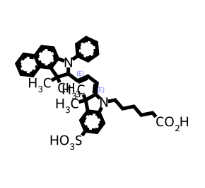 CC1(C)/C(=C\C=C\C2N(c3ccccc3)c3ccc4ccccc4c3C2(C)C)N(CCCCCC(=O)O)c2ccc(S(=O)(=O)O)cc21